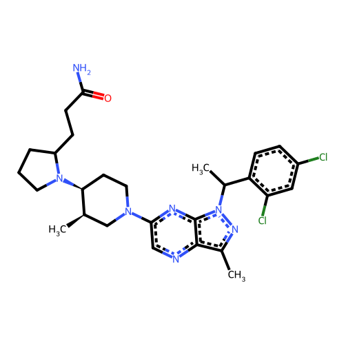 Cc1nn(C(C)c2ccc(Cl)cc2Cl)c2nc(N3CC[C@H](N4CCCC4CCC(N)=O)[C@H](C)C3)cnc12